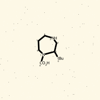 CC(C)(C)C1CNCCCN1C(=O)O